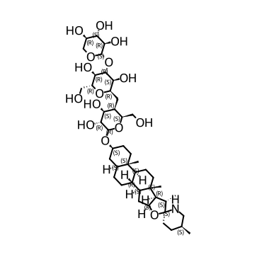 C[C@H]1CC[C@]2(NC1)O[C@H]1C[C@H]3[C@@H]4CC[C@H]5C[C@@H](O[C@@H]6O[C@H](CO)[C@H](C[C@H]7O[C@H](CO)[C@@H](O)[C@H](O[C@@H]8OC[C@@H](O)[C@H](O)[C@H]8O)[C@H]7O)[C@H](O)[C@H]6O)CC[C@]5(C)[C@H]4CC[C@]3(C)[C@H]1[C@@H]2C